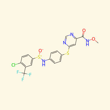 CONC(=O)c1cc(Sc2ccc(N[S+]([O-])c3ccc(Cl)c(C(F)(F)F)c3)cc2)ncn1